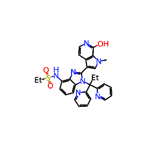 CCC(c1ccccn1)(c1ccccn1)n1c(-c2cn(C)c3c(O)nccc23)nc2c(NS(=O)(=O)CC)cccc21